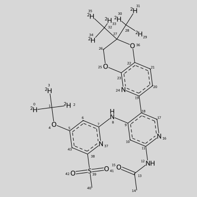 [2H]C([2H])([2H])Oc1cc(Nc2cc(NC(C)=O)ncc2-c2ccc3c(n2)OCC(C([2H])([2H])[2H])(C([2H])([2H])[2H])O3)nc(S(C)(=O)=O)c1